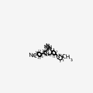 CC1CCCN(c2ccc3c(c2)Cn2cc(-c4ccc(C#N)cc4)cc2-c2nnnn2-3)C1